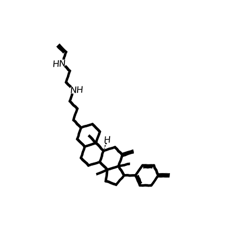 C=CNCCNCCCC1CCC2(C)C(CCC3[C@@H]2CC(=C)C2(C)C(C4=CCC(=C)C=C4)CCC32C)C1